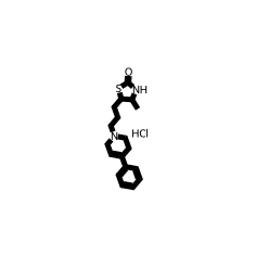 CC1NC(=O)SC1CCCN1CC=C(c2ccccc2)CC1.Cl